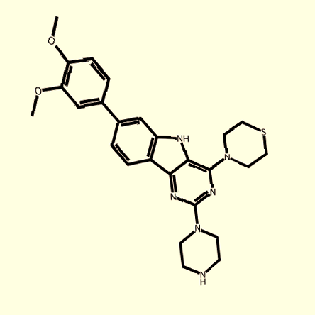 COc1ccc(-c2ccc3c(c2)[nH]c2c(N4CCSCC4)nc(N4CCNCC4)nc23)cc1OC